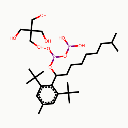 Cc1cc(C(C)(C)C)c(C(CCCCCCC(C)C)OP(O)OP(O)O)c(C(C)(C)C)c1.OCC(CO)(CO)CO